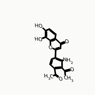 CC(=O)c1ccc(-c2cc(=O)c3ccc(O)c(O)c3o2)c(N)c1C(C)=O